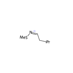 CS/N=C\CC(C)C